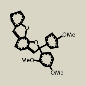 COc1ccc(C2(c3ccc(OC)cc3OC)C=c3ccc4c(c3O2)Oc2ccccc2C=4)cc1